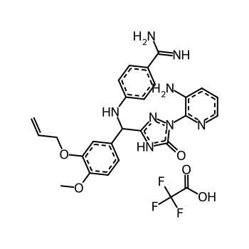 C=CCOc1cc(C(Nc2ccc(C(=N)N)cc2)c2nn(-c3ncccc3N)c(=O)[nH]2)ccc1OC.O=C(O)C(F)(F)F